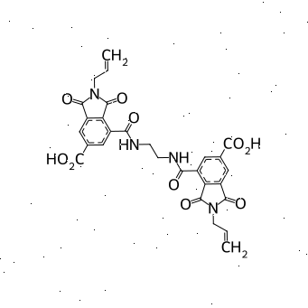 C=CCN1C(=O)c2cc(C(=O)O)cc(C(=O)NCCNC(=O)c3cc(C(=O)O)cc4c3C(=O)N(CC=C)C4=O)c2C1=O